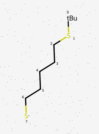 CC(C)(C)SCCCCC[S]